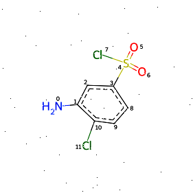 Nc1cc(S(=O)(=O)Cl)ccc1Cl